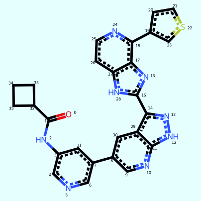 O=C(Nc1cncc(-c2cnc3[nH]nc(-c4nc5c(-c6ccsc6)nccc5[nH]4)c3c2)c1)C1CCC1